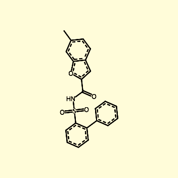 Cc1ccc2cc(C(=O)NS(=O)(=O)c3ccccc3-c3ccccc3)oc2c1